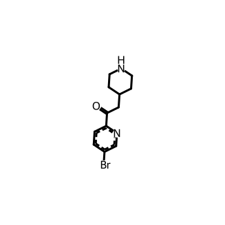 O=C(CC1CCNCC1)c1ccc(Br)cn1